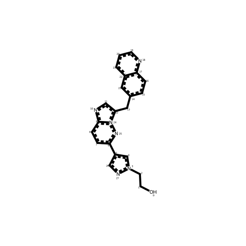 OCCn1cc(-c2ccc3ncc(Cc4ccc5ncccc5c4)n3n2)cn1